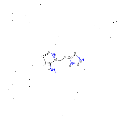 Nc1cccnc1CCc1c[nH]cn1